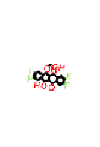 CCO.O=C1c2cc(F)c(F)cc2C(=O)c2c1c(O)c1cc(F)c(F)cc1c2O